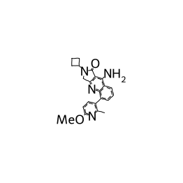 COc1ccc(-c2cccc3c(N)c4c(nc23)CN(C2CCC2)C4=O)c(C)n1